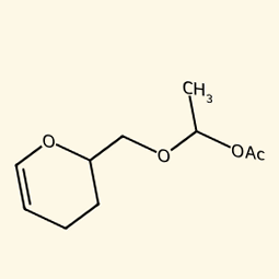 CC(=O)OC(C)OCC1CCC=CO1